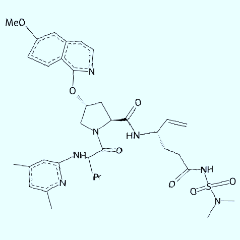 C=C[C@H](CCC(=O)NS(=O)(=O)N(C)C)NC(=O)[C@@H]1C[C@@H](Oc2nccc3cc(OC)ccc23)CN1C(=O)C(Nc1cc(C)cc(C)n1)C(C)C